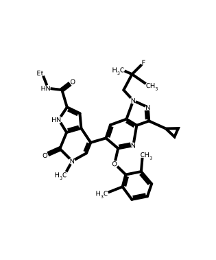 CCNC(=O)c1cc2c(-c3cc4c(nc3Oc3c(C)cccc3C)c(C3CC3)nn4CC(C)(C)F)cn(C)c(=O)c2[nH]1